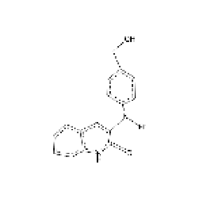 CCN(c1ccc(CO)cc1)c1cc2ccccc2[nH]c1=O